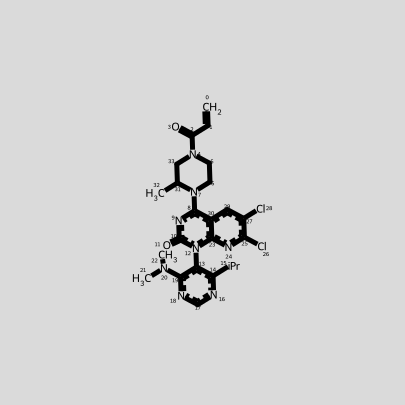 C=CC(=O)N1CCN(c2nc(=O)n(-c3c(C(C)C)ncnc3N(C)C)c3nc(Cl)c(Cl)cc23)C(C)C1